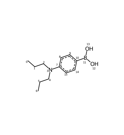 CCCN(CCC)c1ccc(B(O)O)cc1